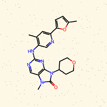 Cc1ccc(-c2cc(C)c(Nc3ncc4c(n3)n(C3CCOCC3)c(=O)n4C)cn2)o1